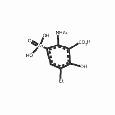 CCc1cc([As](=O)(O)O)c(NC(C)=O)c(C(=O)O)c1O